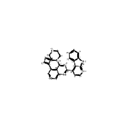 C1=CC(c2cncc3nc(-c4ccnc5[nH]c6ccccc6c45)nc(N4CCOCC4)c23)=C1